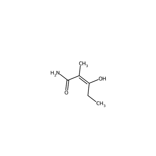 CC/C(O)=C(/C)C(N)=O